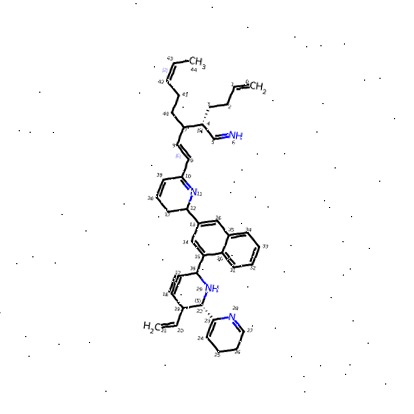 C=CCC[C@H](C=N)C(/C=C/C1=NC(c2cc(C3C#CC(C=C)[C@@H](C4=CCCC=N4)N3)c3ccccc3c2)CC=C1)CC/C=C\C